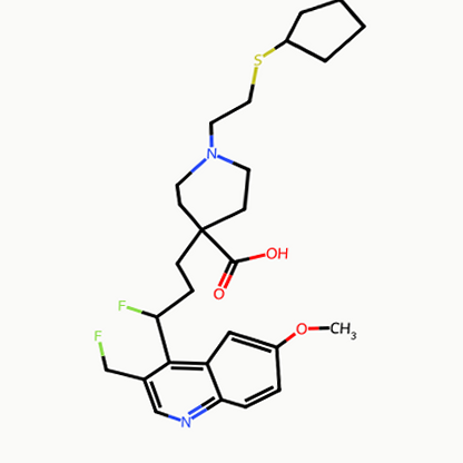 COc1ccc2ncc(CF)c(C(F)CCC3(C(=O)O)CCN(CCSC4CCCC4)CC3)c2c1